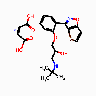 CC(C)(C)NCC(O)COc1ccccc1-c1noc2ccsc12.O=C(O)/C=C\C(=O)O